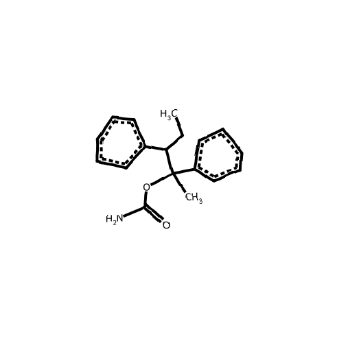 CCC(c1ccccc1)C(C)(OC(N)=O)c1ccccc1